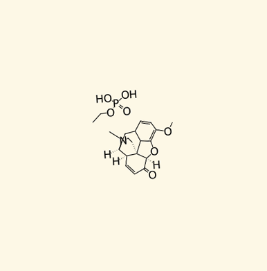 CCOP(=O)(O)O.COC1=C2O[C@H]3C(=O)C=C[C@H]4[C@H]5CC(C=C1)C2[C@@]34CCN5C